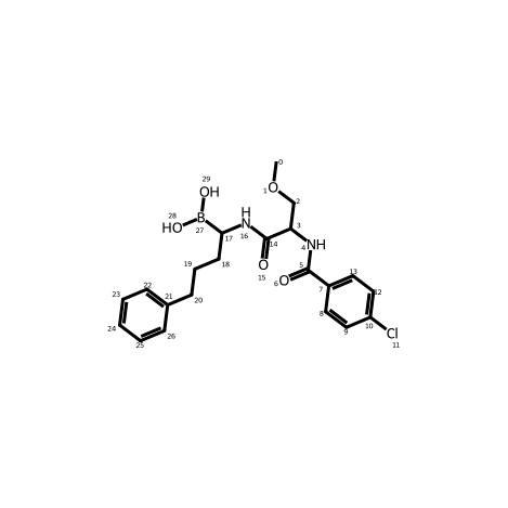 COCC(NC(=O)c1ccc(Cl)cc1)C(=O)NC(CCCc1ccccc1)B(O)O